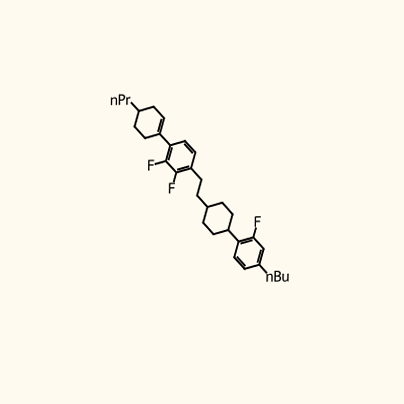 CCCCc1ccc(C2CCC(CCc3ccc(C4=CCC(CCC)CC4)c(F)c3F)CC2)c(F)c1